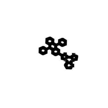 c1ccc(-c2c3ccccc3c(-c3ccccc3)c3cc(-c4cn5c6cccnc6n6ccnc6c5n4)ccc23)cc1